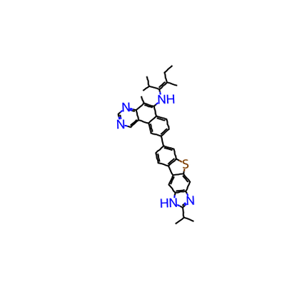 CC/C(C)=C(/Nc1c(C)c2ncncc2c2cc(-c3ccc4c(c3)sc3cc5nc(C(C)C)[nH]c5cc34)ccc12)C(C)C